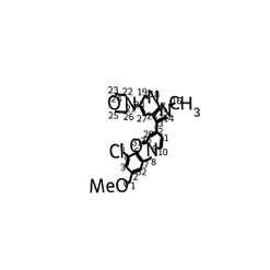 COCc1cc(Cl)cc(Cn2ccc(-c3cn(C)c4ncc(N5CCOCC5)cc34)cc2=O)c1